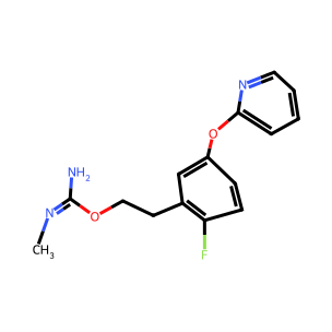 C/N=C(/N)OCCc1cc(Oc2ccccn2)ccc1F